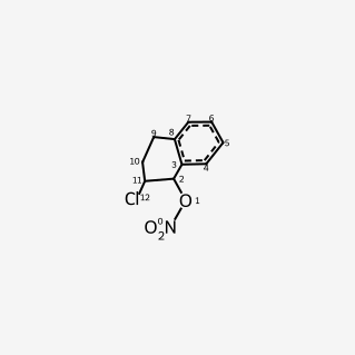 O=[N+]([O-])OC1c2ccccc2CCC1Cl